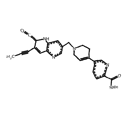 CC#CC1=Cc2ncc(CN3CC=C(c4ccc(C(=O)NC)nc4)CC3)cc2NC1=C=O